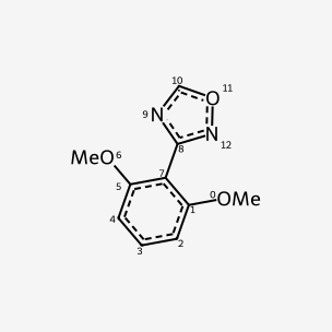 COc1cccc(OC)c1-c1n[c]on1